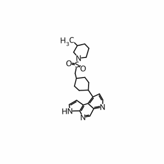 CC1CCCN(S(=O)(=O)CC2CCC(c3ccnc4cnc5[nH]ccc5c34)CC2)C1